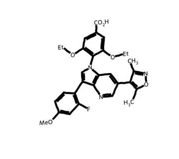 CCOc1cc(C(=O)O)cc(OCC)c1-n1cc(-c2ccc(OC)cc2F)c2ncc(-c3c(C)noc3C)cc21